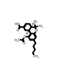 CCCCCc1cc(OC(C)=O)c2c(c1)OC(C)(C)[C@@H]1CC=C(C(=O)O)C[C@@H]21